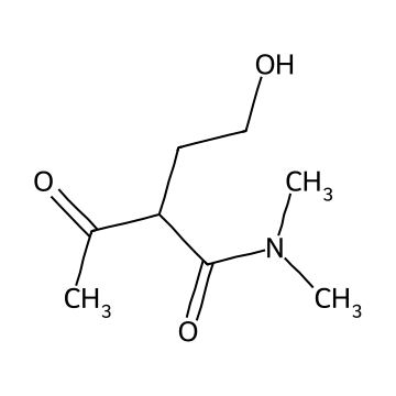 CC(=O)C(CCO)C(=O)N(C)C